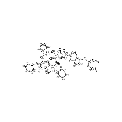 CCC(C)Cc1nc(CN(C)C(=O)N[C@H](C(=O)N[C@@H](Cc2ccccc2)C[C@H](O)[C@H](Cc2ccccc2)NC(=O)OCc2ccns2)C(C)C)cs1